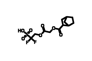 O=C(COC(=O)C1CC2CCC1C2)OCC(F)(F)S(=O)(=O)O